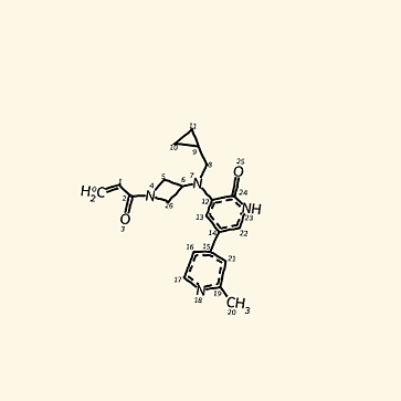 C=CC(=O)N1CC(N(CC2CC2)c2cc(-c3ccnc(C)c3)c[nH]c2=O)C1